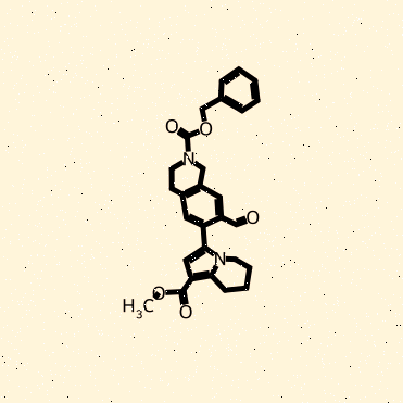 COC(=O)c1cc(-c2cc3c(cc2C=O)CN(C(=O)OCc2ccccc2)CC3)n2c1CCCC2